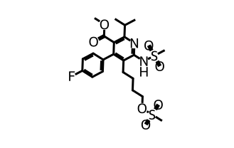 COC(=O)c1c(C(C)C)nc(NS(C)(=O)=O)c(CCCCOS(C)(=O)=O)c1-c1ccc(F)cc1